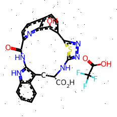 O=C(O)C(F)(F)F.O=C1Nc2[nH]c3ccccc3c2C[C@@H](C(=O)O)Nc2nnc(s2)-c2ccc3ccc1nc3c2O